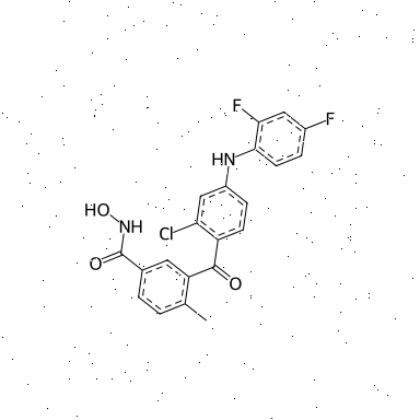 Cc1ccc(C(=O)NO)cc1C(=O)c1ccc(Nc2ccc(F)cc2F)cc1Cl